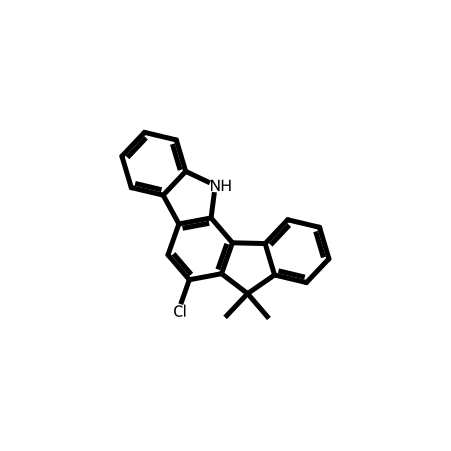 CC1(C)c2ccccc2-c2c1c(Cl)cc1c2[nH]c2ccccc21